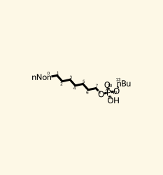 CCCCCCCCCCCCCCCCOP(=O)(O)OCCCC